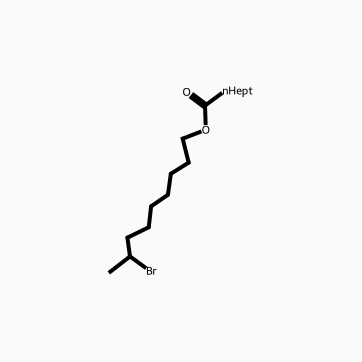 CCCCCCCC(=O)OCCCCCCCC(C)Br